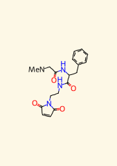 CNCC(=O)NC(Cc1ccccc1)C(=O)NCCN1C(=O)C=CC1=O